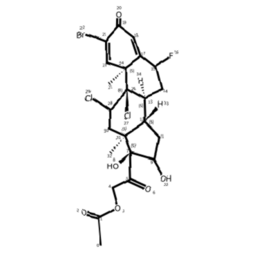 CC(=O)OCC(=O)[C@@]1(O)C(O)C[C@H]2[C@@H]3CC(F)C4=CC(=O)C(Br)=C[C@]4(C)[C@@]3(Cl)C(Cl)C[C@@]21C